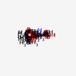 CC[C@H]1OC(=O)[C@H](C)[C@@H](O[C@H]2C[C@@H](OC)[C@@H](OC(=O)CCNCCCc3cc4c5c(c3)c(=O)c(C(=O)O)cn5C(C)OC4)[C@H](C)O2)[C@H](C)[C@@H](O[C@@H]2O[C@H](C)C[C@H](N(C)C)[C@H]2O)[C@](C)(O)C[C@@H](C)CN(C)[C@H](C)[C@H]2OC(=O)O[C@@]21C